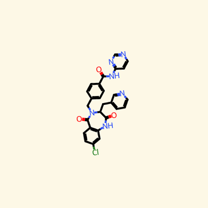 O=C(Nc1ccncn1)c1ccc(CN2C(=O)c3ccc(Cl)cc3NC(=O)C2Cc2cccnc2)cc1